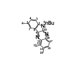 CCCCn1c2ccc(C)cc2c2nc3c(C)c(C)ccc3nc21